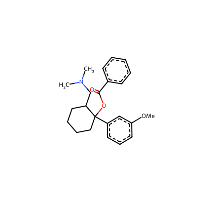 COc1cccc(C2(OC(=O)c3ccccc3)CCCCC2CN(C)C)c1